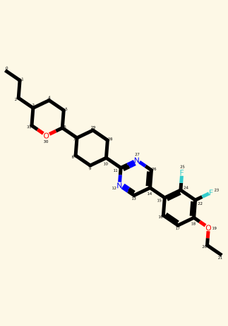 CCCC1CCC(C2CCC(c3ncc(-c4ccc(OCC)c(F)c4F)cn3)CC2)OC1